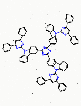 c1ccc(-c2cc(-c3ccccc3)nc(-n3c4ccccc4c4cc(-c5nc(-c6ccc7c(c6)c6ccccc6n7-c6nc(-c7ccccc7)cc(-c7ccccc7)n6)nc(-c6ccc7c(c6)c6ccccc6n7-c6nc(-c7ccccc7)cc(-c7ccccc7)n6)n5)ccc43)n2)cc1